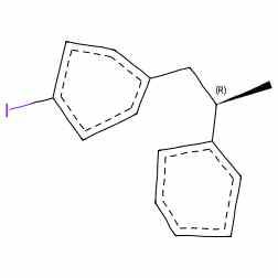 C[C@H](Cc1ccc(I)cc1)c1ccccc1